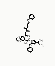 N=C(N)c1csc([C@@H](NC(=O)C2CC3(CN2C(=O)CNC(=O)CCCOc2ccccc2)OCCO3)c2ccccc2)c1